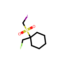 O=S(=O)(CI)C1(CF)CCCCC1